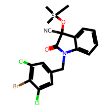 C[Si](C)(C)OC1(C#N)C(=O)N(Cc2cc(Cl)c(Br)c(Cl)c2)c2ccccc21